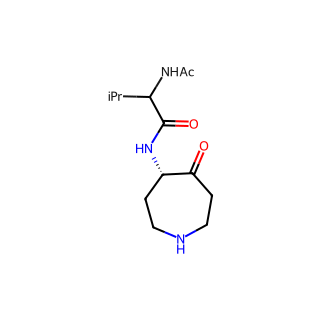 CC(=O)NC(C(=O)N[C@H]1CCNCCC1=O)C(C)C